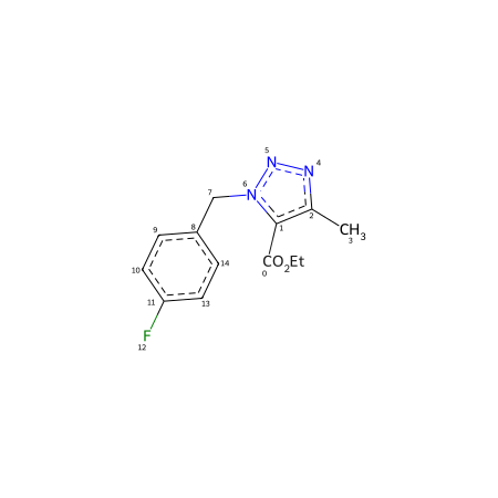 CCOC(=O)c1c(C)nnn1Cc1ccc(F)cc1